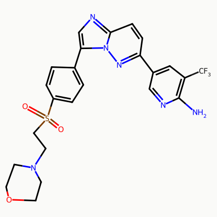 Nc1ncc(-c2ccc3ncc(-c4ccc(S(=O)(=O)CCN5CCOCC5)cc4)n3n2)cc1C(F)(F)F